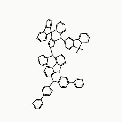 CC1(C)c2ccccc2-c2cc(N3c4ccccc4C4(c5ccccc5-c5ccccc54)c4ccc(N(c5ccccc5)c5cccc6sc7c(N(c8ccc(-c9ccccc9)cc8)c8ccc(-c9ccccc9)cc8)cccc7c56)cc43)ccc21